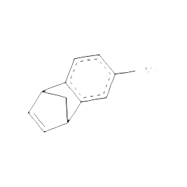 COc1ccc2c(c1)C1C=CC2C1